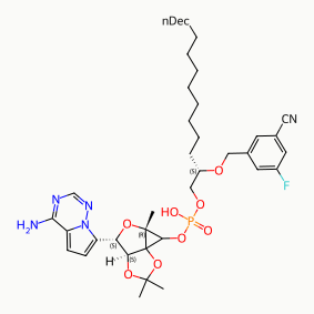 CCCCCCCCCCCCCCCCCC[C@@H](COP(=O)(O)OC1C23OC(C)(C)O[C@H]2[C@H](c2ccc4c(N)ncnn24)O[C@]13C)OCc1cc(F)cc(C#N)c1